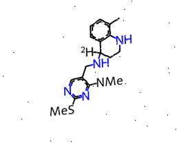 [2H]C1(NCc2cnc(SC)nc2NC)CCNc2c(C)cccc21